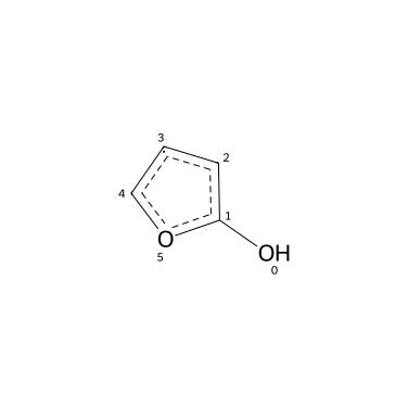 Oc1c[c]co1